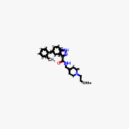 COCCN1CCC(CNC(=O)c2n[nH]c3ccc(-c4ccccc4C)cc23)CC1